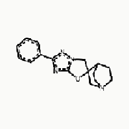 c1ccc(-c2nc3n(n2)C[C@@]2(CN4CCC2CC4)O3)cc1